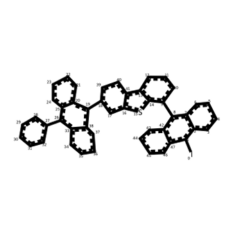 Ic1c2ccccc2c(-c2cccc3c2sc2cc(-c4c5ccccc5c(-c5ccccc5)c5ccccc45)ccc23)c2ccccc12